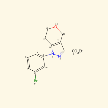 CCOC(=O)c1nn(-c2cccc(Br)c2)c2c1COCC2